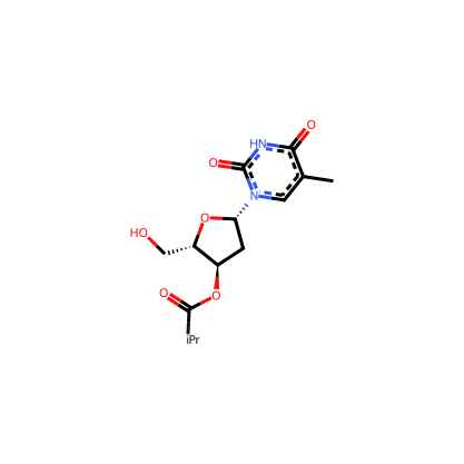 Cc1cn([C@@H]2C[C@@H](OC(=O)C(C)C)[C@H](CO)O2)c(=O)[nH]c1=O